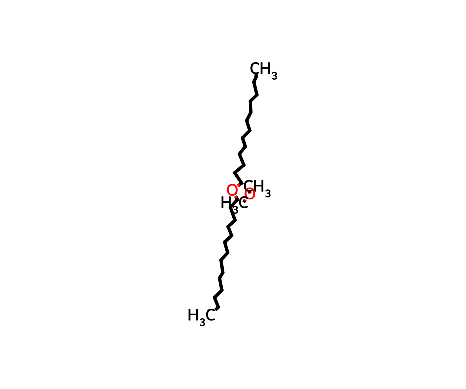 CCCCCCCCCCCCCCOCCCCCCCCCCCCCC.COC